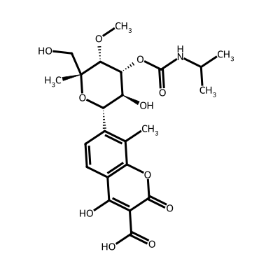 CO[C@@H]1[C@H](OC(=O)NC(C)C)[C@@H](O)[C@H](c2ccc3c(O)c(C(=O)O)c(=O)oc3c2C)O[C@]1(C)CO